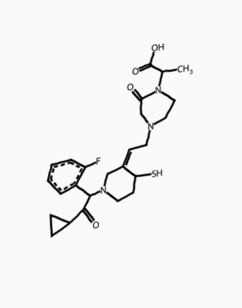 CC(C(=O)O)N1CCN(C/C=C2/CN(C(C(=O)C3CC3)c3ccccc3F)CCC2S)CC1=O